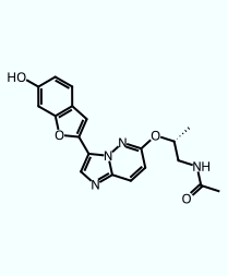 CC(=O)NC[C@@H](C)Oc1ccc2ncc(-c3cc4ccc(O)cc4o3)n2n1